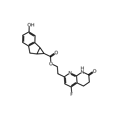 O=C1CCc2c(F)cc(CCOC(=O)C3C4Cc5ccc(O)cc5C43)nc2N1